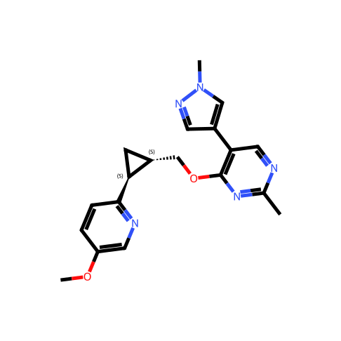 COc1ccc([C@H]2C[C@@H]2COc2nc(C)ncc2-c2cnn(C)c2)nc1